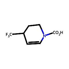 O=C(O)N1C=CC(C(F)(F)F)CC1